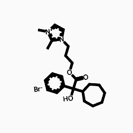 Cc1n(CCCOC(=O)C(O)(c2ccccc2)C2CCCCCC2)cc[n+]1C.[Br-]